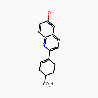 O=C(O)C1CC=C(c2ccc3cc(O)ccc3n2)CC1